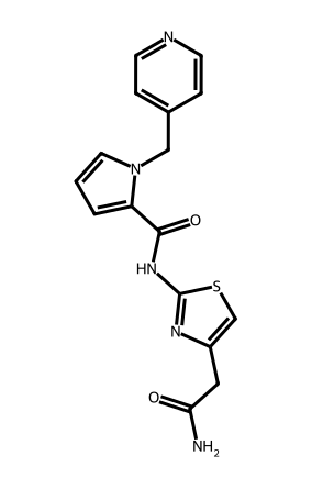 NC(=O)Cc1csc(NC(=O)c2cccn2Cc2ccncc2)n1